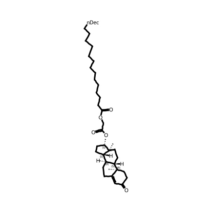 CCCCCCCCCCCCCCCCCCCCCCCC(=O)OCC(=O)O[C@H]1CC[C@H]2[C@@H]3CCC4=CC(=O)CC[C@]4(C)[C@H]3CC[C@]12C